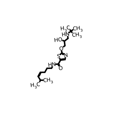 CC(C)/C=C\CCCNC(=O)c1cnc(OCC(O)CNC(C)(C)C)s1